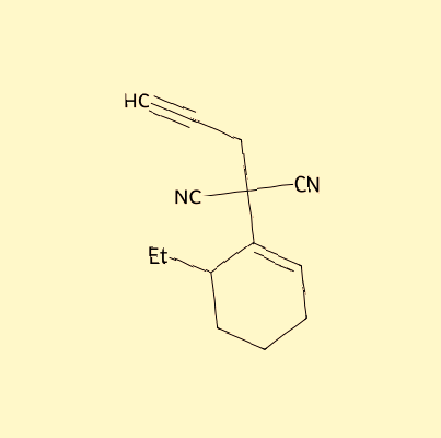 C#CCC(C#N)(C#N)C1=CCCCC1CC